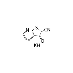 N#CC1Sc2ncccc2C1=O.[KH]